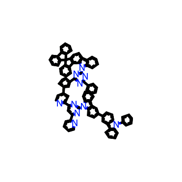 c1ccc(-c2nc(-c3cccc(-c4ccnc(-c5cc(-c6ccccn6)nc(-n6c7ccccc7c7cc(-c8ccc9c(c8)c8ccccc8n9-c8ccccc8)ccc76)n5)c4)c3)nc(-n3c4ccccc4c4ccc5c(c43)-c3ccccc3C53c4ccccc4-c4ccccc43)n2)cc1